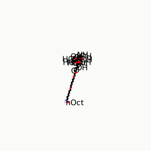 CCCCCCCC/C=C\CCCCCCCCCCCCCCCCCCCC(=O)OCC(O)COP(=O)(O)OC1C(OC(C)=O)[C@H](O)C(O)C(O)[C@H]1O[C@H]1OC(CO)[C@@H](O)C(O)C1N